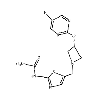 CC(=O)Nc1ncc(CN2CC(Oc3ncc(F)cn3)C2)s1